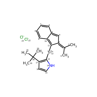 CC(C)=C1C=c2ccccc2=[C]1[Ti+2][c]1[nH]ccc1C(C)(C)C.[Cl-].[Cl-]